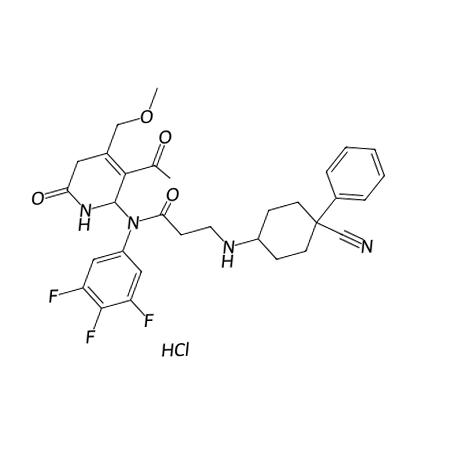 COCC1=C(C(C)=O)C(N(C(=O)CCNC2CCC(C#N)(c3ccccc3)CC2)c2cc(F)c(F)c(F)c2)NC(=O)C1.Cl